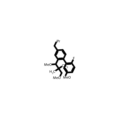 COCC(C)(C)C(OC)c1cc(CC(C)C)ccc1-c1cc(OC)ccc1F